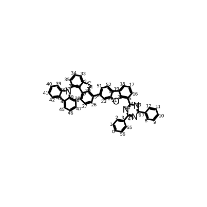 c1ccc(-c2nc(-c3ccccc3)nc(-c3cccc4c3oc3cc(-c5cccc6c5sc5cccc(-n7c8ccccc8c8ccccc87)c56)ccc34)n2)cc1